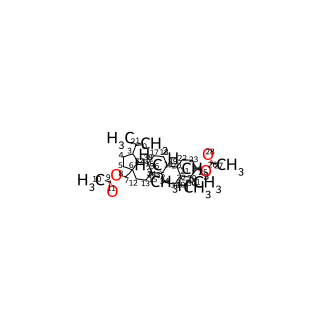 C=C(C)C1CCC2(COC(C)=O)CC[C@]3(C)[C@H](CC[C@@H]4[C@@]5(C)CCC(OC(C)=O)C(C)(C)[C@@H]5CC[C@]43C)C12